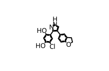 Oc1cc(O)c(-c2n[nH]cc2-c2ccc3c(c2)CCO3)cc1Cl